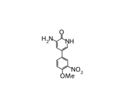 COc1ccc(-c2c[nH]c(=O)c(N)c2)cc1[N+](=O)[O-]